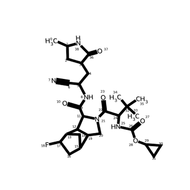 CC1CC(CC(C#N)NC(=O)C2C3C4CC(CC4F)C3CN2C(=O)C(NC(=O)OC2CC2)C(C)(C)C)C(=O)N1